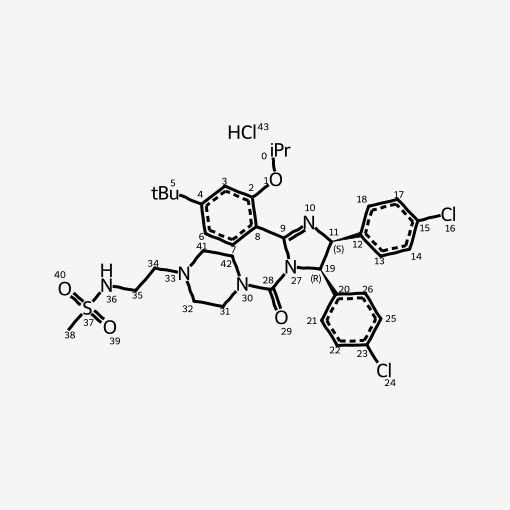 CC(C)Oc1cc(C(C)(C)C)ccc1C1=N[C@@H](c2ccc(Cl)cc2)[C@@H](c2ccc(Cl)cc2)N1C(=O)N1CCN(CCNS(C)(=O)=O)CC1.Cl